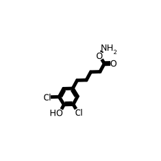 NOC(=O)CCCCc1cc(Cl)c(O)c(Cl)c1